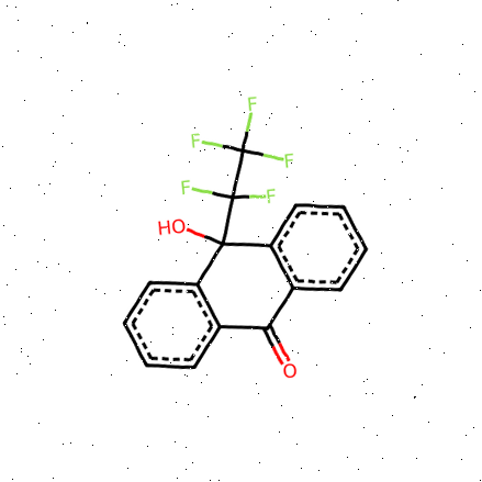 O=C1c2ccccc2C(O)(C(F)(F)C(F)(F)F)c2ccccc21